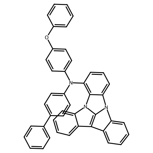 c1ccc(Oc2ccc(N(c3ccc(-c4ccccc4)cc3)c3cccc4c3n3c5ccccc5c5c6ccccc6n4c53)cc2)cc1